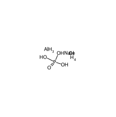 O=P(O)(O)O.[AlH3].[GeH4].[NaH]